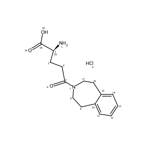 Cl.N[C@@H](CCC(=O)N1CCc2ccccc2CC1)C(=O)O